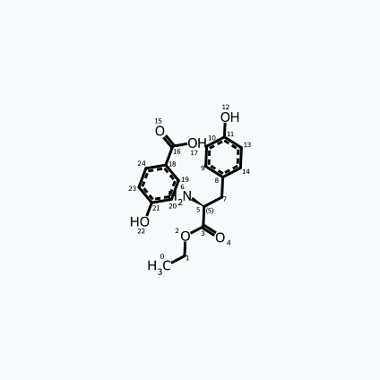 CCOC(=O)[C@@H](N)Cc1ccc(O)cc1.O=C(O)c1ccc(O)cc1